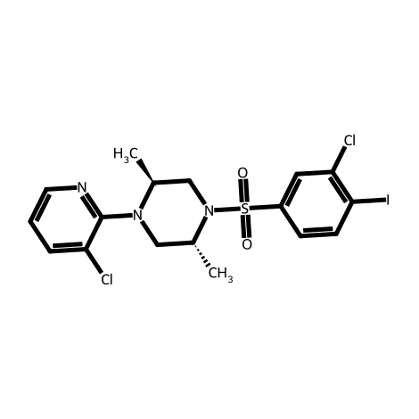 C[C@@H]1CN(c2ncccc2Cl)[C@@H](C)CN1S(=O)(=O)c1ccc(I)c(Cl)c1